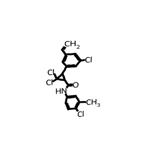 C=Cc1cc(Cl)cc(C2C(C(=O)Nc3ccc(Cl)c(C)c3)C2(Cl)Cl)c1